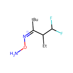 CCC(/C(=N\ON)C(C)(C)C)C(F)F